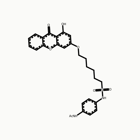 CC(=O)Nc1ccc(NS(=O)(=O)CCCCCCOc2cc(O)c3c(=O)c4ccccc4oc3c2)cc1